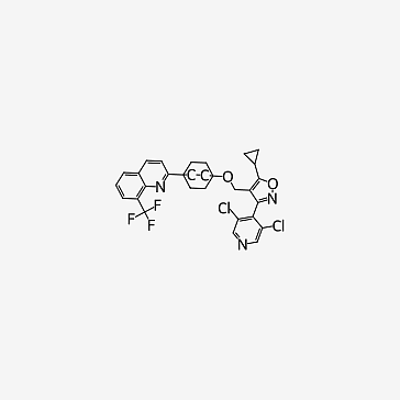 FC(F)(F)c1cccc2ccc(C34CCC(OCc5c(-c6c(Cl)cncc6Cl)noc5C5CC5)(CC3)CC4)nc12